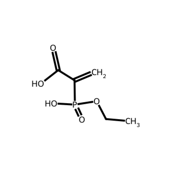 C=C(C(=O)O)P(=O)(O)OCC